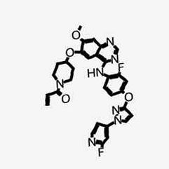 C=CC(=O)N1CCC(Oc2cc3c(Nc4ccc(Oc5ccn(-c6ccnc(F)c6)n5)cc4F)ncnc3cc2OC)CC1